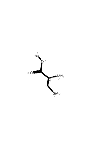 CSC[C@H](N)C(=O)OC(C)(C)C